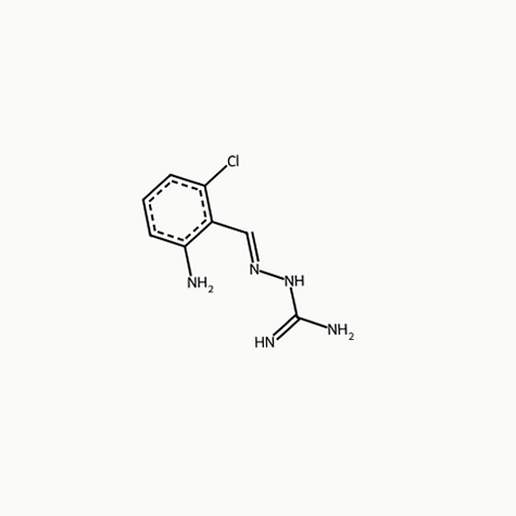 N=C(N)N/N=C/c1c(N)cccc1Cl